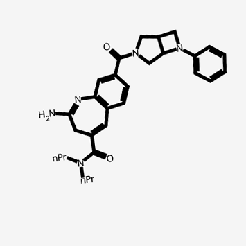 CCCN(CCC)C(=O)C1=Cc2ccc(C(=O)N3CC4CN(c5ccccc5)C4C3)cc2N=C(N)C1